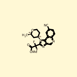 COC(=O)C(F)(F)c1nc2cnc3ccc(C#N)cc3c2n1[C@@H]1CCO[C@H](C)C1